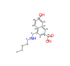 CCCCCNCc1cc(C(=O)O)cc2cc(O)ccc12